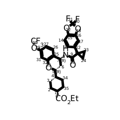 CCOC(=O)[C@H]1CC[C@H]([C@H]2C[C@@H](NC(=O)C3(c4ccc5c(c4)OC(F)(F)O5)CC3)c3ccc(OC(F)(F)F)cc3O2)CC1